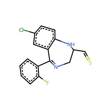 Fc1ccccc1C1=NCC(C=S)Nc2ccc(Cl)cc21